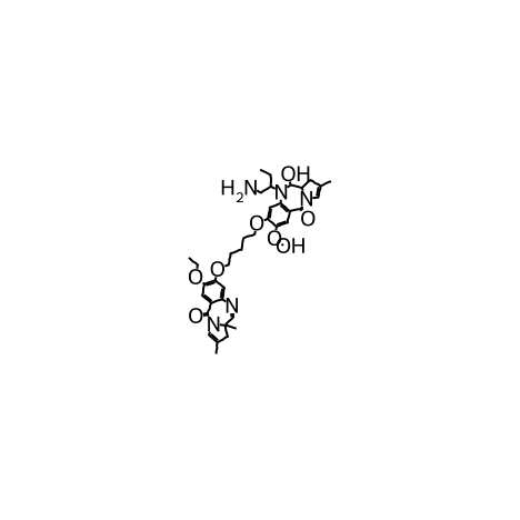 CCOc1cc2c(cc1OCCCCCOc1cc3c(cc1OO)C(=O)N1C=C(C)CC1C(O)N3C(CC)CN)N=CC1(C)CC(C)=CN1C2=O